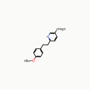 CCCCCCCc1ccc(CCc2ccc(OCCCC)cc2)nc1